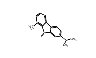 Cc1cccc2c3ccc(C(C)C)cc3n(I)c12